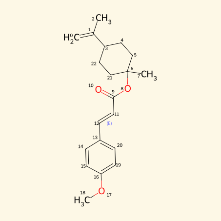 C=C(C)C1CCC(C)(OC(=O)/C=C/c2ccc(OC)cc2)CC1